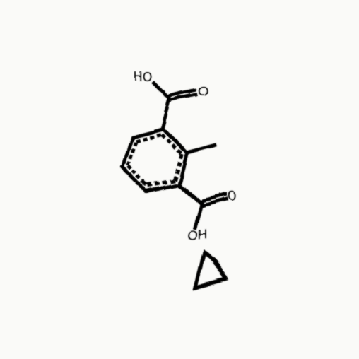 C1CC1.Cc1c(C(=O)O)cccc1C(=O)O